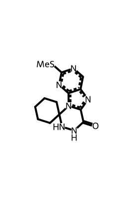 CSc1ncc2nc3n(c2n1)C1(CCCCC1)NNC3=O